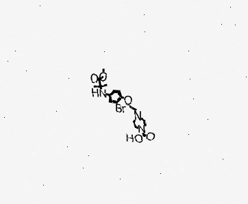 COC(=O)C(C)(C)Nc1ccc(OCCN2CCN(C(=O)O)CC2)c(Br)c1